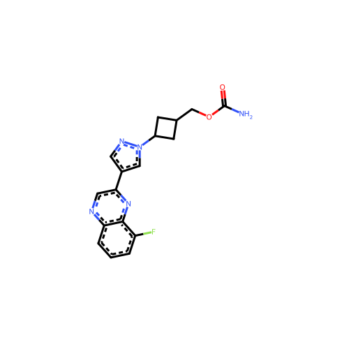 NC(=O)OCC1CC(n2cc(-c3cnc4cccc(F)c4n3)cn2)C1